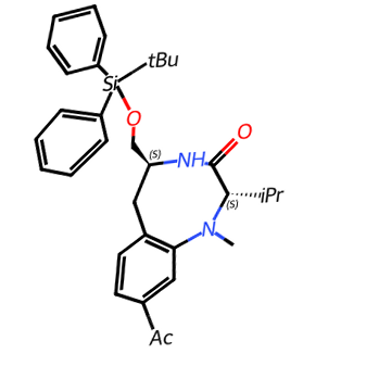 CC(=O)c1ccc2c(c1)N(C)[C@@H](C(C)C)C(=O)N[C@H](CO[Si](c1ccccc1)(c1ccccc1)C(C)(C)C)C2